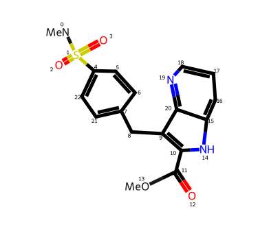 CNS(=O)(=O)c1ccc(Cc2c(C(=O)OC)[nH]c3cccnc23)cc1